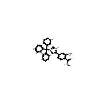 COC(=O)c1ccc(-c2cn(C(c3ccccc3)(c3ccccc3)c3ccccc3)cn2)cc1N